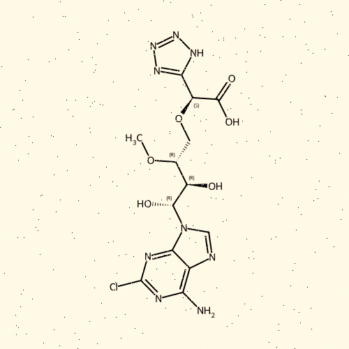 CO[C@H](CO[C@H](C(=O)O)c1nnn[nH]1)[C@@H](O)[C@@H](O)n1cnc2c(N)nc(Cl)nc21